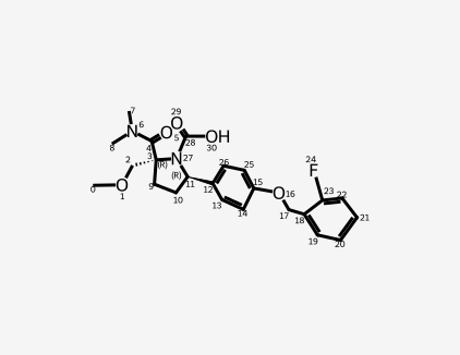 COC[C@@]1(C(=O)N(C)C)CC[C@H](c2ccc(OCc3ccccc3F)cc2)N1C(=O)O